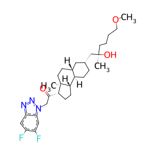 COCCCC[C@@](C)(O)C[C@@H]1CC[C@@H]2[C@H](CC[C@]3(C)[C@@H](C(=O)Cn4nnc5cc(F)c(F)cc54)CC[C@@H]23)C1